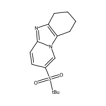 CC(C)(C)S(=O)(=O)c1ccc2nc3c(n2c1)CCCC3